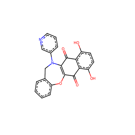 O=C1C2=C(C(=O)c3c(O)ccc(O)c31)N(c1cccnc1)Cc1ccccc1O2